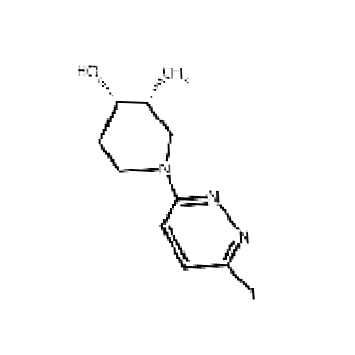 C[C@@H]1CN(c2ccc(I)nn2)CC[C@@H]1O